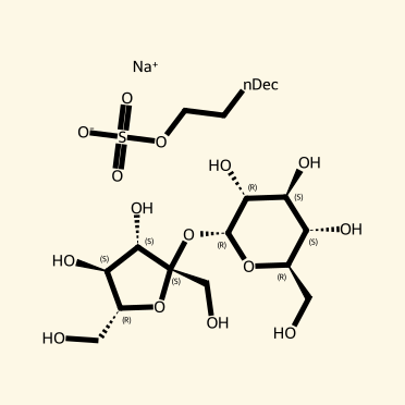 CCCCCCCCCCCCOS(=O)(=O)[O-].OC[C@H]1O[C@@](CO)(O[C@H]2O[C@H](CO)[C@@H](O)[C@H](O)[C@H]2O)[C@@H](O)[C@@H]1O.[Na+]